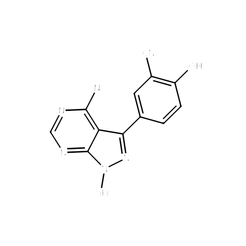 CC(C)n1nc(-c2ccc(O)c(C#N)c2)c2c(N)ncnc21